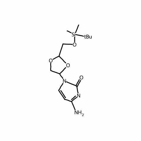 CC(C)(C)[Si](C)(C)OCC1OCC(n2ccc(N)nc2=O)O1